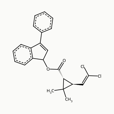 CC1(C)[C@H](C=C(Cl)Cl)[C@H]1C(=O)OC1C=C(c2ccccc2)c2ccccc21